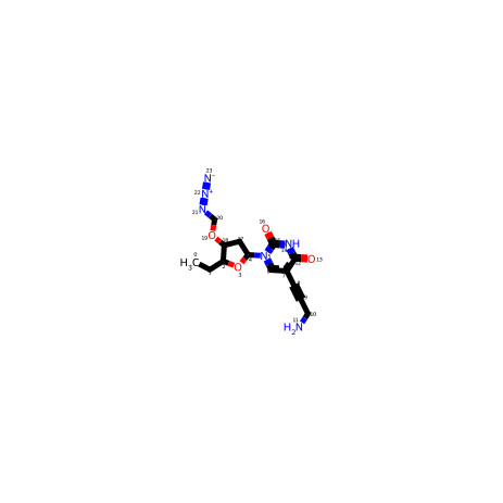 CCC1OC(n2cc(C#CCN)c(=O)[nH]c2=O)CC1OCN=[N+]=[N-]